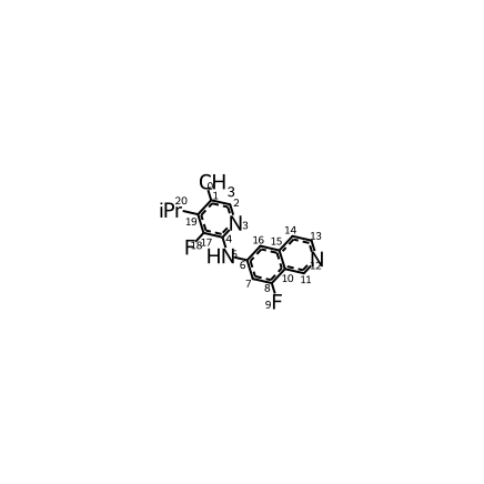 Cc1cnc(Nc2cc(F)c3cnccc3c2)c(F)c1C(C)C